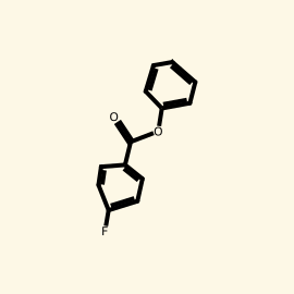 O=C(Oc1cc[c]cc1)c1ccc(F)cc1